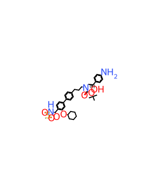 CC(C)(C)OC(=O)N(CCCc1ccc(-c2ccc(C(=O)NS(C)(=O)=O)c(OC3CCCCC3)c2)cc1)C[C@H](O)c1ccc(N)cc1